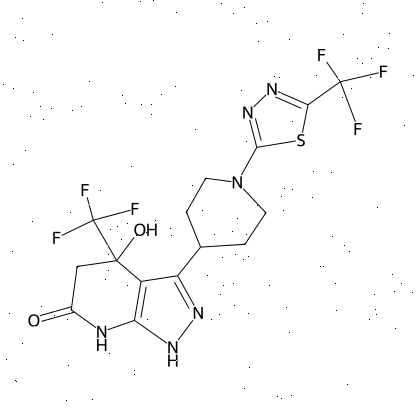 O=C1CC(O)(C(F)(F)F)c2c(C3CCN(c4nnc(C(F)(F)F)s4)CC3)n[nH]c2N1